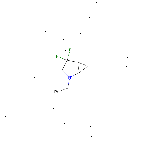 CC(C)CN1CC(F)(F)C2CC21